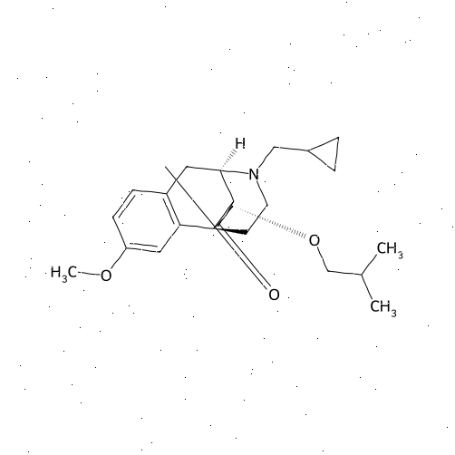 COc1ccc2c(c1)[C@]13CCN(CC4CC4)[C@H](C2)C1C[C@H](OCC(C)C)C(=O)C3